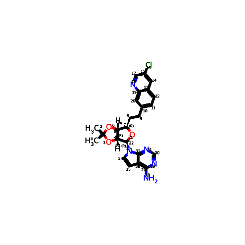 CC1(C)O[C@@H]2[C@H](O1)[C@@H](CCc1ccc3cc(Cl)cnc3c1)O[C@H]2n1ccc2c(N)ncnc21